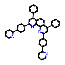 c1ccc(-c2cc(-c3ccc(-c4ccccn4)cc3)nc3c2ccc2c(-c4ccccc4)cc(-c4ccc(-c5ccccn5)cc4)nc23)cc1